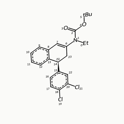 CCN(C(=O)OC(C)(C)C)C1=Cc2ccccc2[C@H](c2ccc(Cl)c(Cl)c2)C1